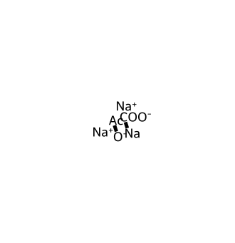 O=[C]([O-])[Na].[CH2]C(=O)[O-].[Na+].[Na+]